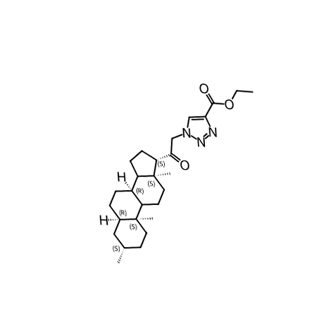 CCOC(=O)c1cn(CC(=O)[C@H]2CCC3[C@@H]4CC[C@@H]5C[C@@H](C)CC[C@]5(C)C4CC[C@@]32C)nn1